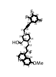 COc1ccc2nccc([C@@H](F)CC[C@@H]3CCN(CC#Cc4cc(F)cc(F)c4F)C[C@@H]3CO)c2c1